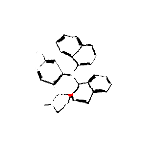 CN1CCC[C@H]1c1cnc(Cl)cc1P(c1cccc2ccccc12)c1cccc2ccccc12